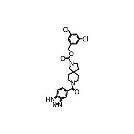 O=C(OCc1cc(Cl)cc(Cl)c1)N1CCC2(CCN(C(=O)c3ccc4[nH]nnc4c3)CC2)C1